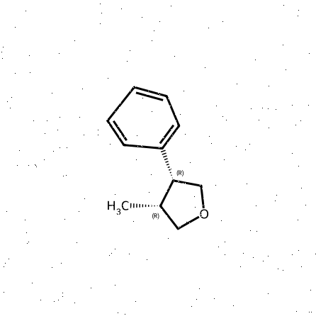 C[C@H]1COC[C@H]1c1ccccc1